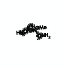 COc1cc2ncnc(Nc3ccc4[nH]ccc4c3)c2cc1C#Cc1cccc(N)c1